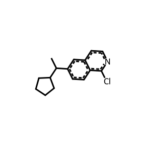 CC(c1ccc2c(Cl)nccc2c1)C1CCCC1